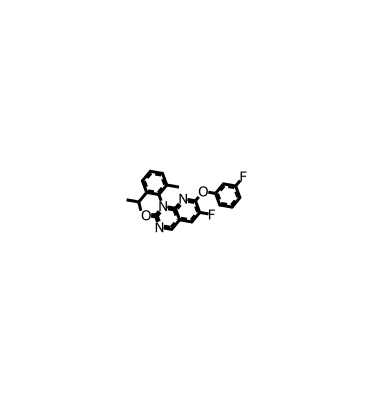 Cc1cccc(C(C)C)c1-n1c(=O)ncc2cc(F)c(Oc3cccc(F)c3)nc21